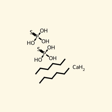 CCCCCC.CCCCCC.OP(O)(O)=S.OP(O)(O)=S.[CaH2]